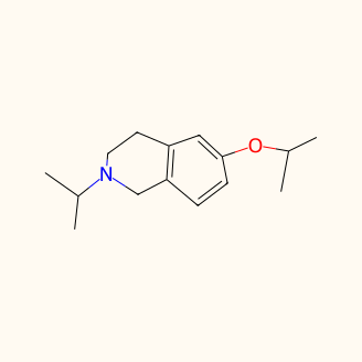 CC(C)Oc1ccc2c(c1)CCN(C(C)C)C2